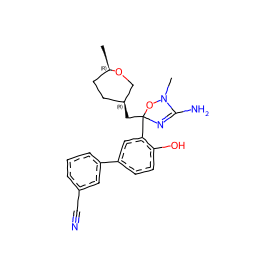 C[C@@H]1CC[C@H](CC2(c3cc(-c4cccc(C#N)c4)ccc3O)N=C(N)N(C)O2)CO1